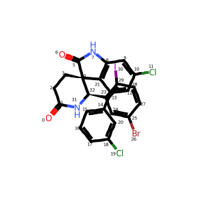 O=C1CC[C@]2(C(=O)Nc3cc(Cl)cc(-c4cccc(Cl)c4)c32)[C@@H](c2cc(Br)ccc2I)N1